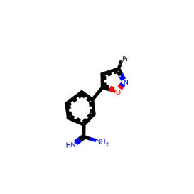 CC(C)c1cc(-c2cccc(C(=N)N)c2)on1